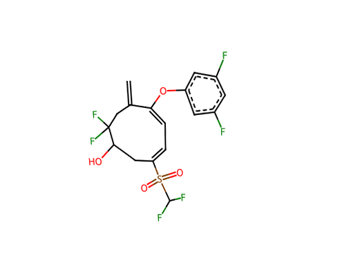 C=C1CC(F)(F)C(O)C/C(S(=O)(=O)C(F)F)=C\C=C/1Oc1cc(F)cc(F)c1